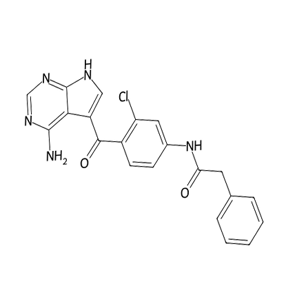 Nc1ncnc2[nH]cc(C(=O)c3ccc(NC(=O)Cc4ccccc4)cc3Cl)c12